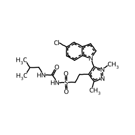 Cc1nn(C)c(-n2ccc3cc(Cl)ccc32)c1CCS(=O)(=O)NC(=O)NCC(C)C